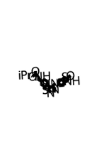 CC(C)OC(=O)NCC1CCc2c(sc3ncnc(Nc4ccc5[nH]c(=O)sc5c4)c23)C1